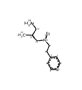 CCN(CCc1ccncc1)CC(C)CN